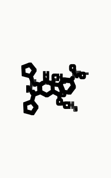 COC(=O)C1Cc2c(C3CCCC3)nn(C3CCCC3)c2NC1(C)c1cccc([N+](=O)[O-])c1